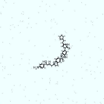 Nc1ccc(C(O)CNCC2CCc3cc(S(=O)(=O)Nc4ccc(-n5cc(CCC6CCCC6)[nH]c5=O)cc4)ccc3O2)cn1